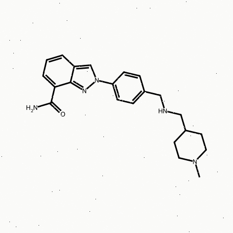 CN1CCC(CNCc2ccc(-n3cc4cccc(C(N)=O)c4n3)cc2)CC1